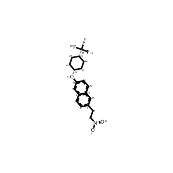 O=[N+]([O-])CCc1ccc2cc(O[C@H]3CC[C@@H](C(F)(F)F)CC3)ccc2c1